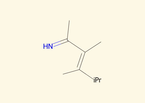 CC(=N)/C(C)=C(\C)C(C)C